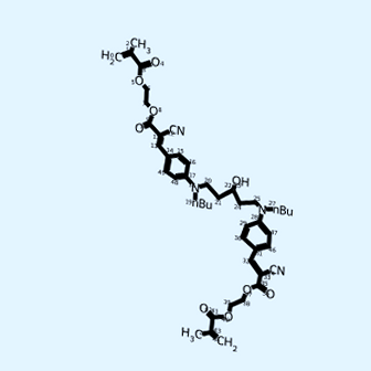 C=C(C)C(=O)OCCOC(=O)/C(C#N)=C/c1ccc(N(CCCC)CCC(O)CCN(CCCC)c2ccc(/C=C(\C#N)C(=O)OCCOC(=O)C(=C)C)cc2)cc1